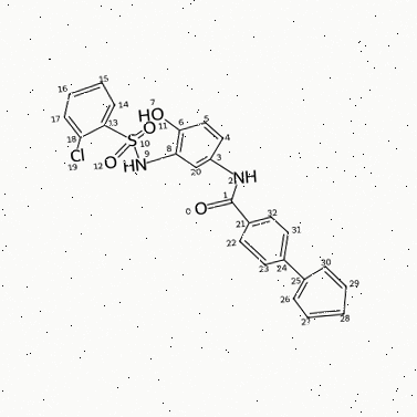 O=C(Nc1ccc(O)c(NS(=O)(=O)c2ccccc2Cl)c1)c1ccc(-c2ccccc2)cc1